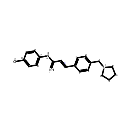 N=C(/C=C/c1ccc(CN2CCCC2)cc1)Nc1ccc(Cl)cc1